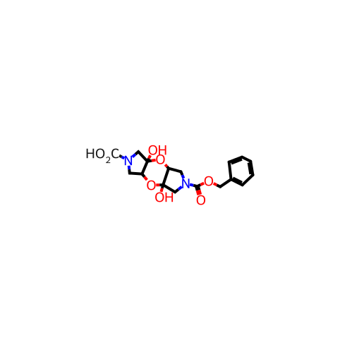 O=C(O)N1CC2OC3(O)CN(C(=O)OCc4ccccc4)CC3OC2(O)C1